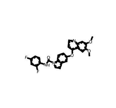 COc1cc2nccc(Oc3ccc4c(ccn4C(=O)Nc4ccc(F)cc4F)c3)c2cc1OC